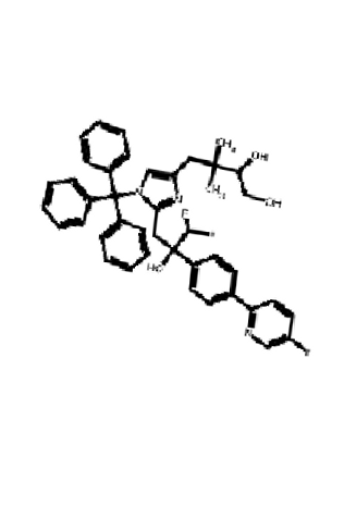 CC(C)(Cc1cn(C(c2ccccc2)(c2ccccc2)c2ccccc2)c(CC(O)(c2ccc(-c3ccc(F)cn3)cc2)C(F)F)n1)C(O)CO